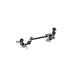 Cc1ncsc1-c1ccc(CNC(=O)[C@@H]2C[C@@H](O)CN2C(=O)[C@@H](NC(=O)CCCCCCCCCCCCCC(=O)N(C)Cc2ccc(CCOc3cc(-c4ccccc4O)nnc3N)cc2)C(C)(C)C)cc1